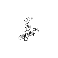 C#Cc1cccc(C2CCCN2)c1Nc1nc(N2CC[C@@H]2C)c2cnc(OC[C@@]34CCCN3C[C@H](F)C4)nc2c1F